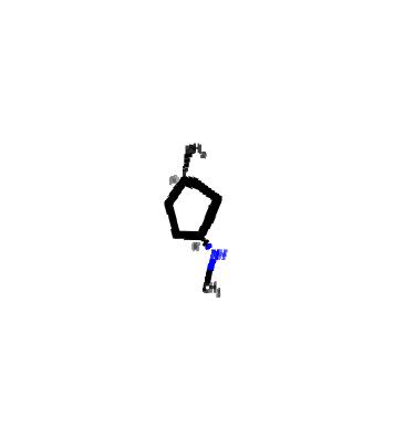 B[C@H]1CC[C@@H](NC)C1